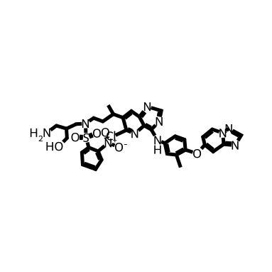 Cc1cc(Nc2ncnc3cc(C(C)CCN(CC(CN)CO)S(=O)(=O)c4ccccc4[N+](=O)[O-])c(Cl)nc23)ccc1Oc1ccn2ncnc2c1